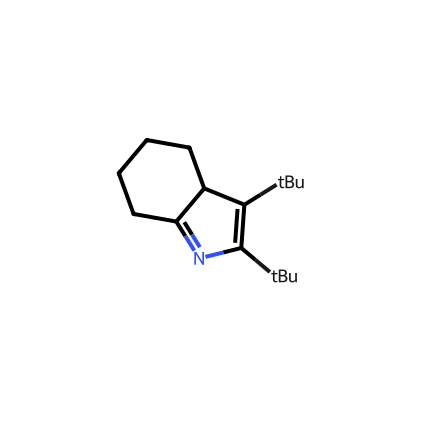 CC(C)(C)C1=C(C(C)(C)C)C2CCCCC2=N1